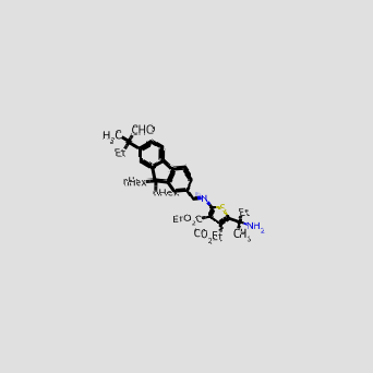 CCCCCCC1(CCCCCC)c2cc(/C=N/c3sc(C(C)(N)CC)c(C(=O)OCC)c3C(=O)OCC)ccc2-c2ccc(C(C)(C=O)CC)cc21